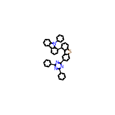 c1ccc(-c2nc(-c3ccccc3)nc(-c3ccc4sc5cccc(-c6cccc7c8ccccc8n(-c8ccccc8)c67)c5c4c3)n2)cc1